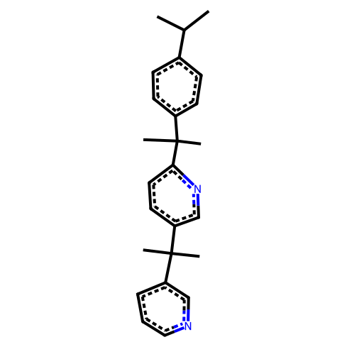 CC(C)c1ccc(C(C)(C)c2ccc(C(C)(C)c3cccnc3)cn2)cc1